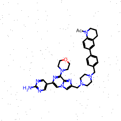 CC(=O)N1CCCc2cc(-c3ccc(CN4CCN(Cc5cn6cc(-c7cnc(N)nc7)nc(N7CCOCC7)c6n5)CC4)cc3)ccc21